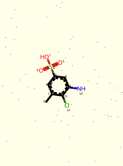 Cc1cc(S(=O)(=O)O)cc([NH])c1Cl